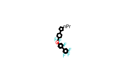 CCCC1CCC(C2CCC(C(F)(F)Oc3ccc(-c4cc(F)c(F)c(F)c4)c(F)c3)CC2)C1